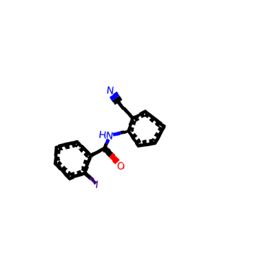 N#Cc1ccccc1NC(=O)c1ccccc1I